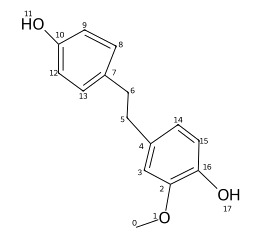 COc1cc(CCc2ccc(O)cc2)ccc1O